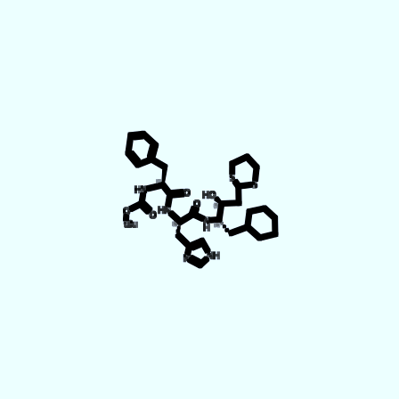 CC(C)(C)OC(=O)N[C@@H](Cc1ccccc1)C(=O)N[C@@H](Cc1c[nH]cn1)C(=O)N[C@@H](CC1CCCCC1)[C@@H](O)CC1SCCCS1